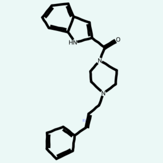 O=C(c1cc2ccccc2[nH]1)N1CCN(C/C=C/c2ccccc2)CC1